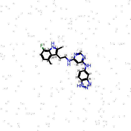 Cc1[nH]c2c(F)ccc(C)c2c1CCNc1cc(Nc2ccc3[nH]nnc3c2)ncn1